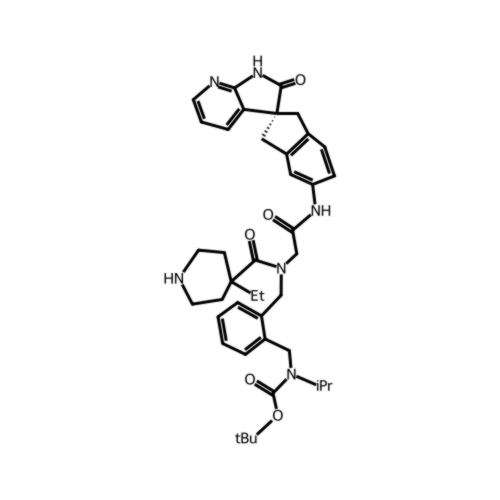 CCC1(C(=O)N(CC(=O)Nc2ccc3c(c2)C[C@@]2(C3)C(=O)Nc3ncccc32)Cc2ccccc2CN(C(=O)OC(C)(C)C)C(C)C)CCNCC1